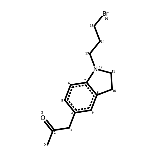 CC(=O)Cc1ccc2c(c1)CCN2CCCBr